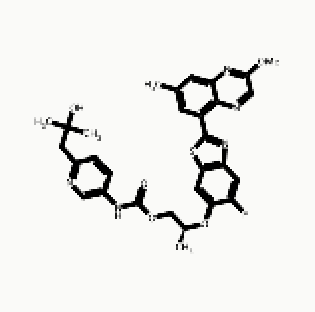 COc1cnc2c(-c3nc4cc(F)c(O[C@@H](C)COC(=O)Nc5ccc(CC(C)(C)O)nc5)cc4s3)cc(C)cc2n1